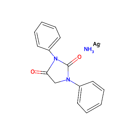 N.O=C1CN(c2ccccc2)C(=O)N1c1ccccc1.[Ag]